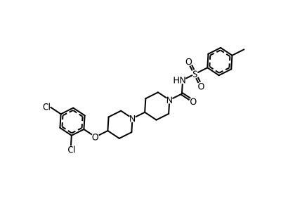 Cc1ccc(S(=O)(=O)NC(=O)N2CCC(N3CCC(Oc4ccc(Cl)cc4Cl)CC3)CC2)cc1